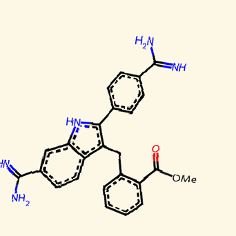 COC(=O)c1ccccc1Cc1c(-c2ccc(C(=N)N)cc2)[nH]c2cc(C(=N)N)ccc12